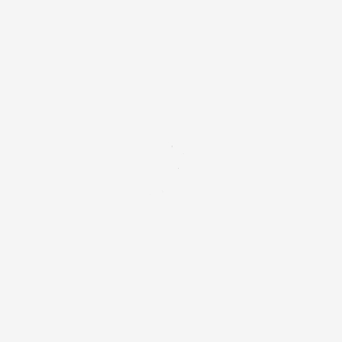 CC(=O)C(C)SC(C)=S